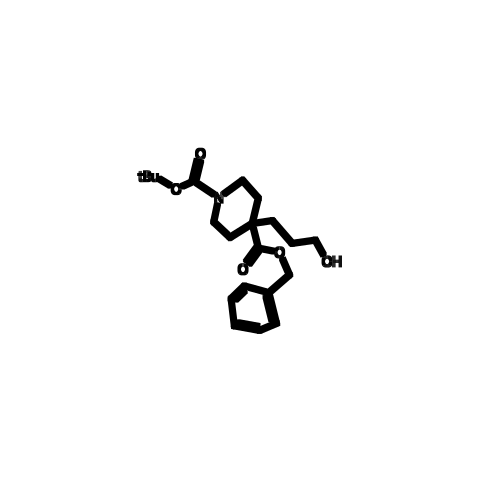 CC(C)(C)OC(=O)N1CCC(CCCO)(C(=O)OCc2ccccc2)CC1